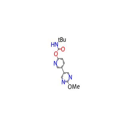 COc1ncc(-c2ccc(OC(=O)NC(C)(C)C)nc2)cn1